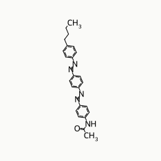 CCCCc1ccc(N=Nc2ccc(N=Nc3ccc(NC(C)=O)cc3)cc2)cc1